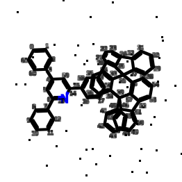 c1ccc(-c2cc(-c3ccccc3)nc(-c3cccc(-c4cccc5c4C4(c6ccccc6-5)c5ccccc5C5(c6ccccc6)c6ccccc6-c6cccc4c65)c3)c2)cc1